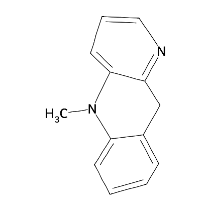 CN1c2ccccc2Cc2ncccc21